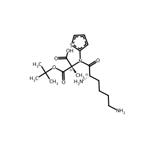 CC(C)(C)OC(=O)[C@](C)(C(=O)O)N(C(=O)[C@@H](N)CCCCN)c1cccs1